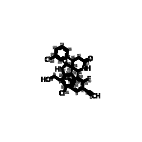 C#Cc1ccc(OCCO)c([C@@H]2NC(=O)C[C@H](c3cccc(Cl)c3)[C@@]23C(=O)Nc2cc(Cl)ccc23)c1F